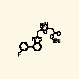 CC(C)(C)OC(=O)Cc1nnc(Cc2nc3c(-c4cccc(F)c4)cccc3s2)o1